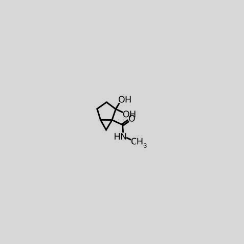 CNC(=O)C12CC1CCC2(O)O